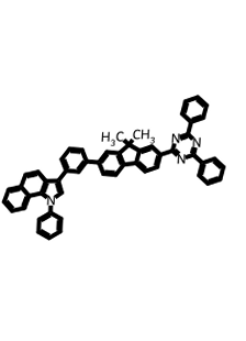 CC1(C)c2cc(-c3cccc(-c4cn(-c5ccccc5)c5c4ccc4ccccc45)c3)ccc2-c2ccc(-c3nc(-c4ccccc4)nc(-c4ccccc4)n3)cc21